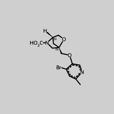 Cc1cc(Br)c(OC[C@@]23C[C@@H](CO2)N(C(=O)O)C3)cn1